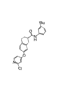 CC(C)(C)c1cccc(NC(=O)C2CCc3ccc(Oc4ccnc(Cl)c4)cc3C2)c1